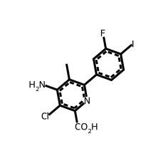 Cc1c(-c2ccc(I)c(F)c2)nc(C(=O)O)c(Cl)c1N